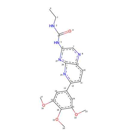 CCNC(=O)Nc1cnc2ccc(-c3cc(OC)c(OC)c(OC)c3)nc2n1